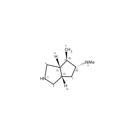 CN[C@@H]1C[C@@H]2CNC[C@@H]2[C@H]1C